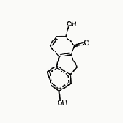 O=C1C2=C(C=CC1O)c1ccc(O)cc1C2